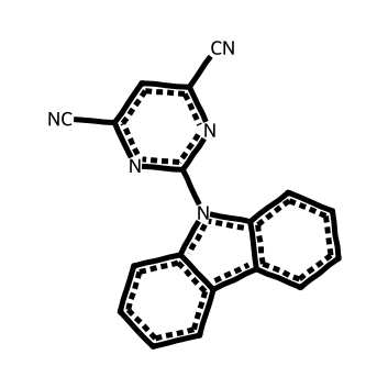 N#Cc1cc(C#N)nc(-n2c3ccccc3c3ccccc32)n1